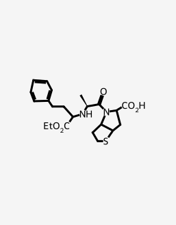 CCOC(=O)C(CCc1ccccc1)N[C@@H](C)C(=O)N1C(C(=O)O)CC2SCCC21